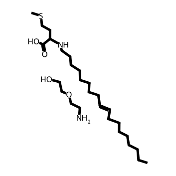 CCCCCCCCC=CCCCCCCCCNC(CCSC)C(=O)O.NCCOCCO